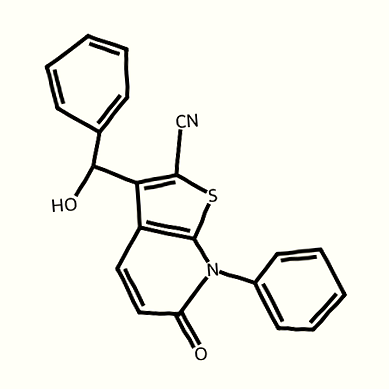 N#Cc1sc2c(ccc(=O)n2-c2ccccc2)c1C(O)c1ccccc1